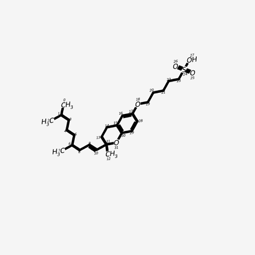 CC(C)CCCC(C)CC=CC1(C)CCc2cc(OCCCCCS(=O)(=O)O)ccc2O1